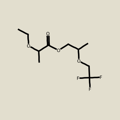 CCOC(C)C(=O)OCC(C)OCC(F)(F)F